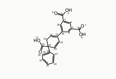 O=C(O)c1cc(C(=O)O)cc(C2=CCC(C(=O)O)(c3ccccc3)C=C2)c1